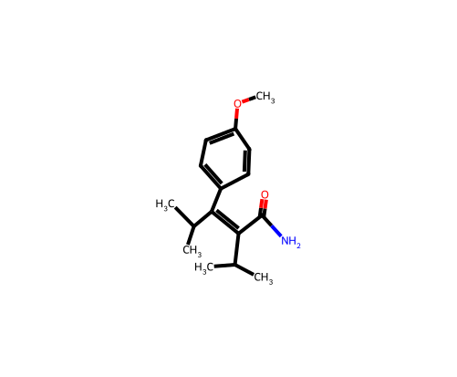 COc1ccc(C(=C(C(N)=O)C(C)C)C(C)C)cc1